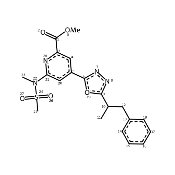 COC(=O)c1cc(-c2nnc(C(C)Cc3ccccc3)o2)cc(N(C)S(C)(=O)=O)n1